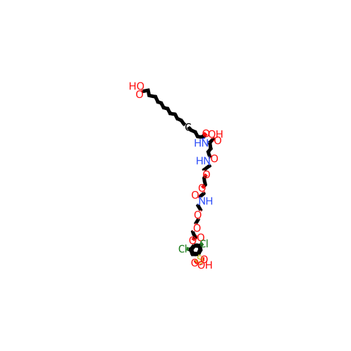 O=C(O)CCCCCCCCCCCCCCCCC(=O)NC(CCC(=O)NCCOCCOCC(=O)NCCOCCOCC(=O)Oc1c(Cl)cc(S(=O)(=O)O)cc1Cl)C(=O)O